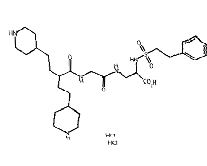 Cl.Cl.O=C(CNC(=O)C(CCC1CCNCC1)CCC1CCNCC1)NCC(NS(=O)(=O)CCc1ccccc1)C(=O)O